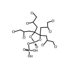 O=P(O)(O)OP1(=O)OC(CC(Cl)CCl)(CC(Cl)CCl)C(CC(Cl)CCl)(CC(Cl)CCl)O1